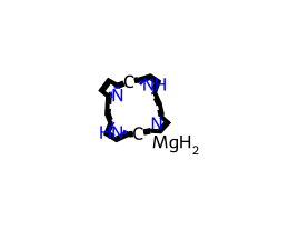 C1=Cc2cc3ccc(cc4nc(cc5ccc(cc1n2)[nH]5)C=C4)[nH]3.[MgH2]